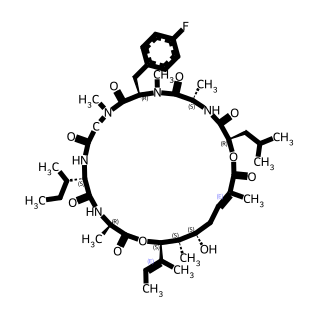 C/C=C(\C)[C@H]1OC(=O)[C@@H](C)NC(=O)[C@H](C(C)CC)NC(=O)CN(C)C(=O)[C@@H](Cc2ccc(F)cc2)N(C)C(=O)[C@H](C)NC(=O)[C@@H](CC(C)C)OC(=O)/C(C)=C/C[C@H](O)[C@@H]1C